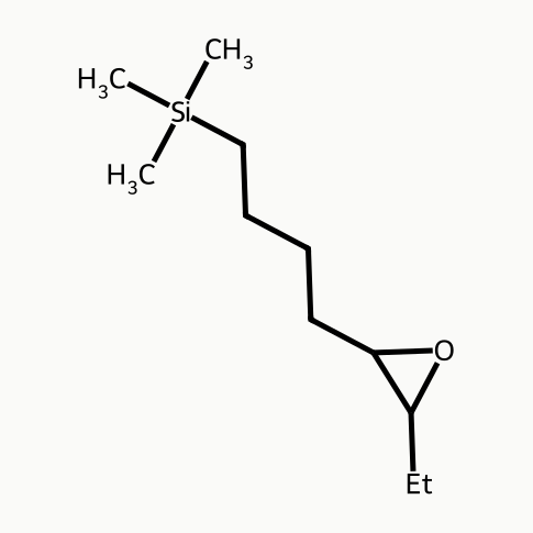 CCC1OC1CCCC[Si](C)(C)C